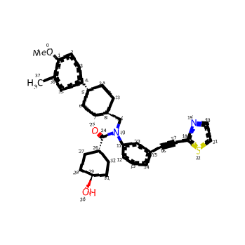 COc1ccc([C@H]2CC[C@H](CN(c3cccc(C#Cc4nccs4)c3)C(=O)[C@H]3CC[C@H](O)CC3)CC2)cc1C